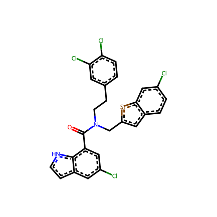 O=C(c1cc(Cl)cc2cc[nH]c12)N(CCc1ccc(Cl)c(Cl)c1)Cc1cc2ccc(Cl)cc2s1